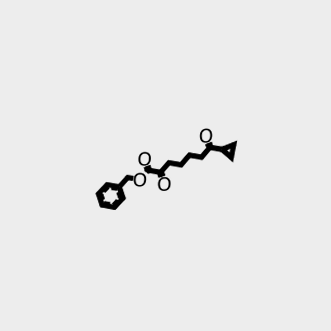 O=C(CCCCC(=O)C1CC1)C(=O)OCc1ccccc1